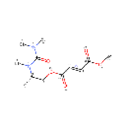 CCN(CC)C(=O)N(CC)[C@@H](C)COC(=O)/C=C/C(=O)OC(C)C